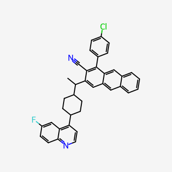 CC(c1cc2cc3ccccc3cc2c(-c2ccc(Cl)cc2)c1C#N)C1CCC(c2ccnc3ccc(F)cc23)CC1